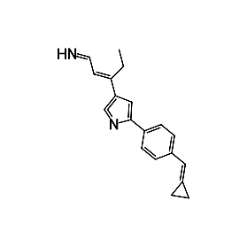 CC/C(=C\C=N)C1=C=NC(c2ccc(C=C3CC3)cc2)=C1